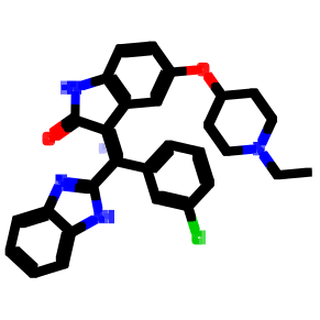 CCN1CCC(Oc2ccc3c(c2)/C(=C(\c2cccc(Cl)c2)c2nc4ccccc4[nH]2)C(=O)N3)CC1